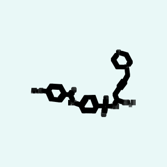 COc1ccc(C(=O)Nc2ccc(S(=O)(=O)NC(CC#CCN3CCOCC3)C(=O)O)cc2)cc1